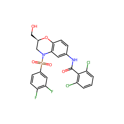 O=C(Nc1ccc2c(c1)N(S(=O)(=O)c1ccc(F)c(F)c1)C[C@@H](CO)O2)c1c(Cl)cccc1Cl